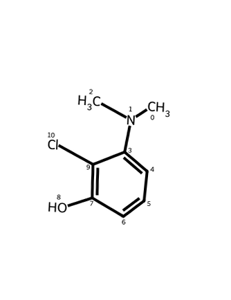 CN(C)c1cccc(O)c1Cl